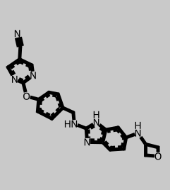 N#Cc1cnc(Oc2ccc(CNc3nc4ccc(NC5COC5)cc4[nH]3)cc2)nc1